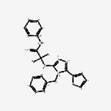 CC(C)(Sc1nnc(-c2cccs2)n1Cc1ccccc1)C(=O)Nc1ccccc1